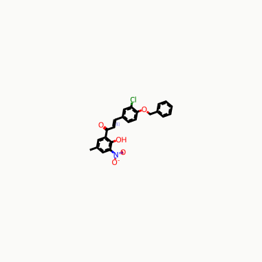 Cc1cc(C(=O)/C=C/c2ccc(OCc3ccccc3)c(Cl)c2)c(O)c([N+](=O)[O-])c1